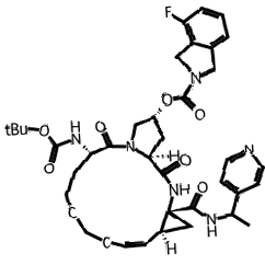 CC(NC(=O)[C@@]12C[C@H]1/C=C\CCCCC[C@H](NC(=O)OC(C)(C)C)C(=O)N1C[C@H](OC(=O)N3Cc4cccc(F)c4C3)C[C@H]1C(=O)N2)c1ccncc1